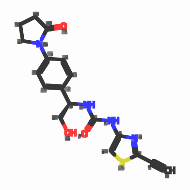 C#Cc1nc(NC(=O)N[C@@H](CO)c2ccc(N3CCCC3=O)cc2)cs1